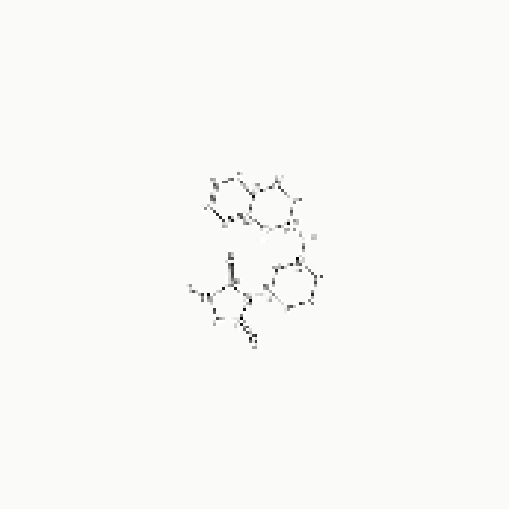 CN1CC(=O)N([C@H]2CCCN(C[C@H]3COc4ccccc4O3)C2)C1=O